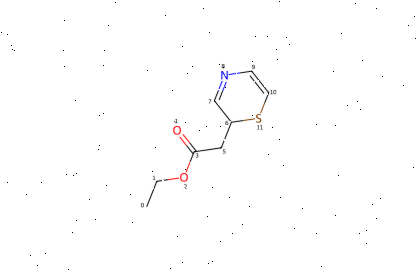 CCOC(=O)CC1C=NC=CS1